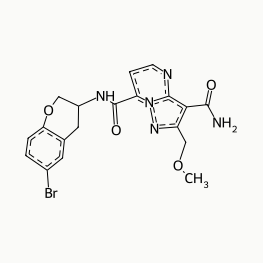 COCc1nn2c(C(=O)NC3COc4ccc(Br)cc4C3)ccnc2c1C(N)=O